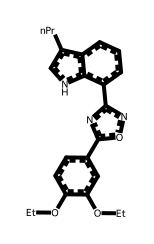 CCCc1c[nH]c2c(-c3noc(-c4ccc(OCC)c(OCC)c4)n3)cccc12